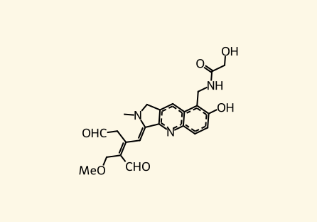 COC/C(C=O)=C(/C=C1/c2nc3ccc(O)c(CNC(=O)CO)c3cc2CN1C)CC=O